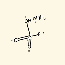 O=S(=O)(O)F.[MgH2]